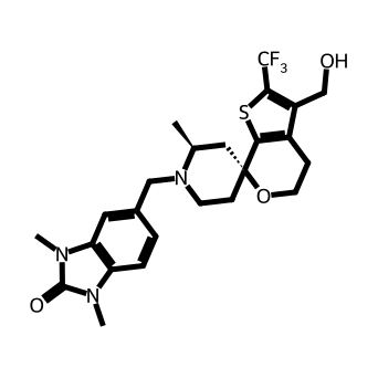 C[C@H]1C[C@@]2(CCN1Cc1ccc3c(c1)n(C)c(=O)n3C)OCCc1c2sc(C(F)(F)F)c1CO